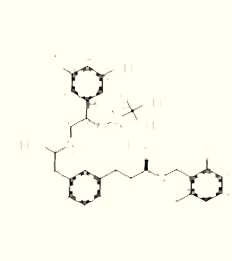 CC(Cc1cccc(CCC(=O)NCc2c(Cl)cccc2Cl)c1)NCC(O[Si](C)(C)C(C)(C)C)c1cc(O)cc(O)c1